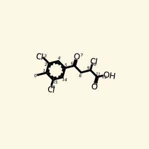 Cc1c(Cl)cc(C(=O)CC(Cl)C(=O)O)cc1Cl